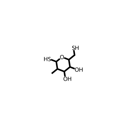 CC1C(S)OC(CS)C(O)C1O